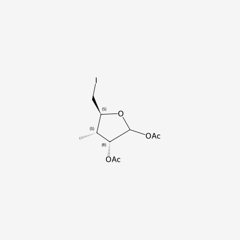 CC(=O)OC1O[C@H](CI)[C@@H](C)[C@H]1OC(C)=O